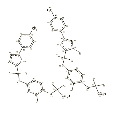 Cc1cc(SC(C)(C)c2cnc(-c3ccc(C(F)(F)F)cc3)s2)ccc1OC(C)(C)C(=O)O.Cc1cc(SC(C)(C)c2sc(-c3ccc(C(F)(F)F)cc3)nc2C)ccc1OC(C)(C)C(=O)O